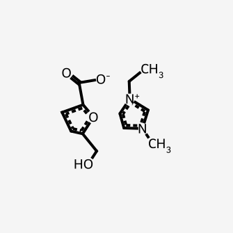 CC[n+]1ccn(C)c1.O=C([O-])c1ccc(CO)o1